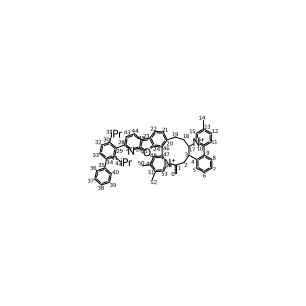 C=C1CC2c3ccccc3-c3ccc(C)c[n+]3C2CCc2ccc3c(oc4nc(-c5c(C(C)C)ccc(-c6ccccc6)c5C(C)C)ccc43)c2-c2cc(C)c(C)c[n+]21